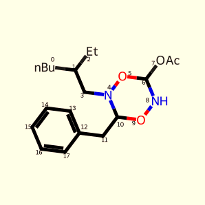 CCCCC(CC)CN1OC(OC(C)=O)NOC1Cc1ccccc1